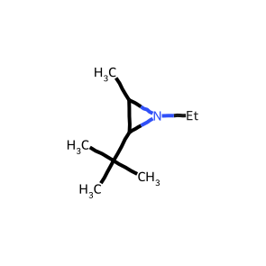 CCN1C(C)C1C(C)(C)C